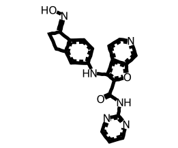 O=C(Nc1ncccn1)c1oc2cnccc2c1Nc1ccc2c(c1)CCC2=NO